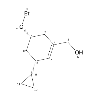 CCO[C@@H]1CC(CO)=C[C@H](C2CC2)C1